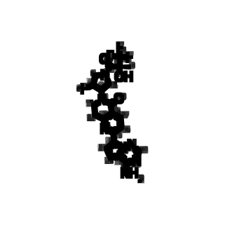 C[C@@](O)(C(=O)N1CC(F)C(N2CCc3nc(-c4ccc5c(N)ncnn45)ccc3C2=O)C1)C(F)(F)F